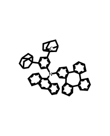 c1ccc2c(c1)-c1ccccc1-c1ccc(N(c3cc(C45CC6CC(CC4C6)C5)cc(C45CC6CC(CC4C6)C5)c3)c3c4ccccc4cc4ccccc34)cc1-c1ccccc1-2